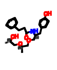 C[C@H](O)CO[C@H](C)COC[C@H](Cc1ccc(O)cc1)NC(=O)CCc1ccccc1